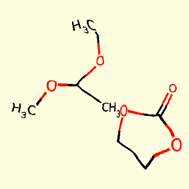 COC(C)OC.O=C1OCCO1